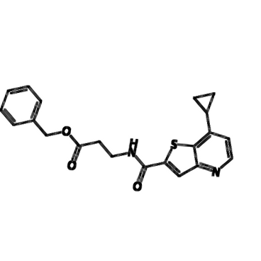 O=C(CCNC(=O)c1cc2nccc(C3CC3)c2s1)OCc1ccccc1